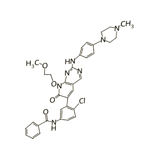 COCCOn1c(=O)c(-c2cc(NC(=O)c3ccccc3)ccc2Cl)cc2cnc(Nc3ccc(N4CCN(C)CC4)cc3)nc21